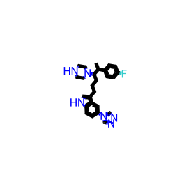 CC(c1ccc(F)cc1)C(CCCc1c[nH]c2ccc(-n3cnnc3)cc12)N1CCNCC1